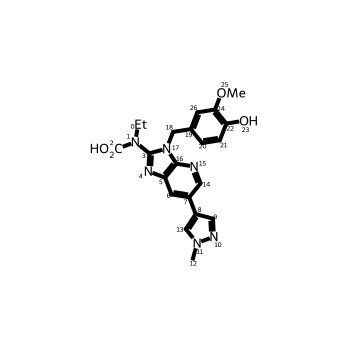 CCN(C(=O)O)c1nc2cc(-c3cnn(C)c3)cnc2n1Cc1ccc(O)c(OC)c1